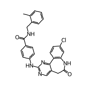 Cc1ccccc1CNC(=O)c1ccc(Nc2ncc3c(n2)-c2ccc(Cl)cc2NC(=O)C3)cc1